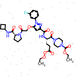 CCOOC(=O)CC[C@H](NC(=O)c1cc(OCC(=O)N2CCC[C@H]2C(=O)NC2CCC2)n(-c2cccc(F)c2)n1)C(=O)N1CCN(C(=O)OCC)CC1